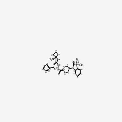 CC1(C)C(=O)N(C2CCN(C(=O)[C@H](CCc3ccccc3)NC(=O)CC3(N)CCC3)CC2)c2ccccc21